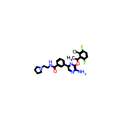 CC(Oc1nc(-c2cccc(C(=O)NCCN3CCCC3)c2)cnc1N)c1c(F)ccc(F)c1Cl